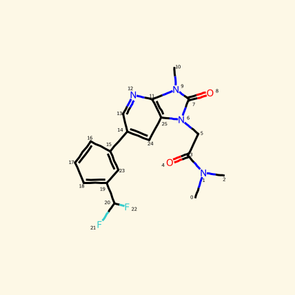 CN(C)C(=O)Cn1c(=O)n(C)c2ncc(-c3cccc(C(F)F)c3)cc21